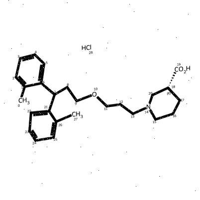 Cc1ccccc1C(CCOCCCN1CCC[C@@H](C(=O)O)C1)c1ccccc1C.Cl